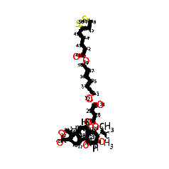 CC(C)[C@]12O[C@H]1[C@@H]1O[C@]13[C@]1(O[C@H]1C[C@H]1C4=C(CC[C@@]13C)C(=O)OC4)[C@@H]2OC(=O)CCC(=O)OCCCCCCOC(=O)CCCCC1CCSS1